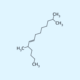 CCCCC(C)/C=C/CCCCCC(C)C